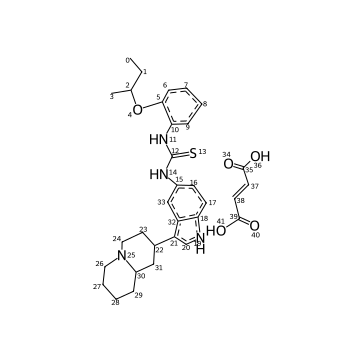 CCC(C)Oc1ccccc1NC(=S)Nc1ccc2[nH]cc(C3CCN4CCCCC4C3)c2c1.O=C(O)/C=C/C(=O)O